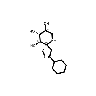 OC[C@@]1(CCC2CCCCC2)NC[C@H](O)[C@@H](O)[C@@H]1O